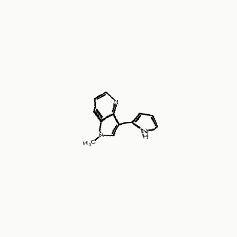 Cn1cc(-c2ccc[nH]2)c2ncccc21